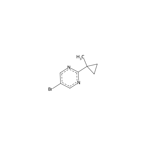 CC1(c2ncc(Br)cn2)CC1